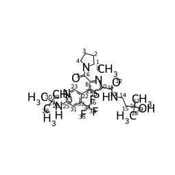 C[C@H]1CCCN1C(=O)c1nc(C(=O)NCCC(C)(C)O)sc1-c1cnc(NC(C)(C)C)cc1C(F)(F)F